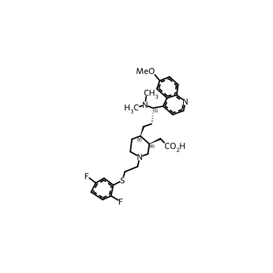 COc1ccc2nccc([C@H](CC[C@@H]3CCN(CCSc4cc(F)ccc4F)C[C@@H]3CC(=O)O)N(C)C)c2c1